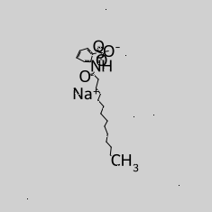 CCCCCCCCCCCCCC(=O)Nc1ccccc1S(=O)(=O)[O-].[Na+]